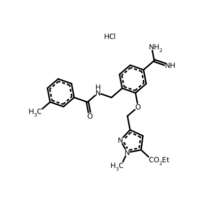 CCOC(=O)c1cc(COc2cc(C(=N)N)ccc2CNC(=O)c2cccc(C)c2)nn1C.Cl